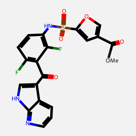 COC(=O)c1coc(S(=O)(=O)Nc2ccc(F)c(C(=O)c3c[nH]c4ncccc34)c2F)c1